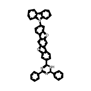 c1ccc(C2=NC(c3ccccc3)NC(c3ccc4c(c3)sc3cc5c(cc34)oc3cc(-n4c6ccccc6c6ccccc64)ccc35)=N2)cc1